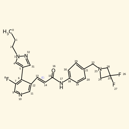 CCCn1cc(-c2c(F)cncc2/C=C/C(=O)Nc2ccc(CN3CC(F)(F)C3)cc2)cn1